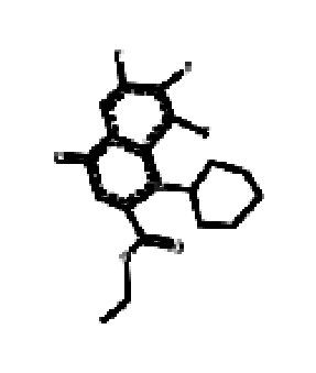 CCOC(=O)c1cc(=O)c2cc(F)c(F)c(F)c2n1C1CCCCC1